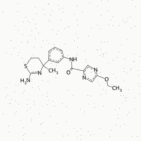 CCOc1cnc(C(=O)Nc2cccc(C3(C)CCSC(N)=N3)c2)cn1